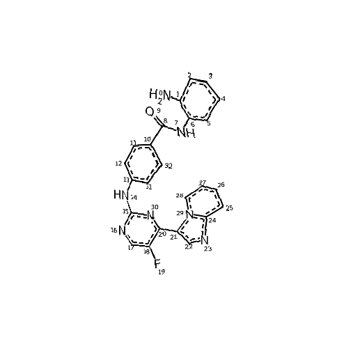 Nc1ccccc1NC(=O)c1ccc(Nc2ncc(F)c(-c3cnc4ccccn34)n2)cc1